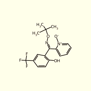 CC(C)(C)ON=C(c1cc(C(F)(F)F)ccc1O)c1cccc[n+]1[O-]